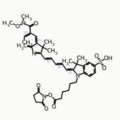 C=C1N=C(/C=C/C=C/C=C2/N(CCCCCC(=O)ON3C(=O)CCC3=O)c3ccc(S(=O)(=O)O)cc3C2(C)C)C(C)(C)/C1=C/C(=C\C)C(=O)N(C)OC